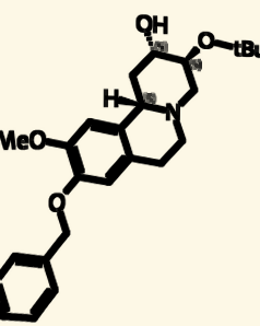 COc1cc2c(cc1OCc1ccccc1)CCN1C[C@H](OC(C)(C)C)[C@@H](O)C[C@@H]21